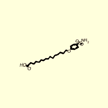 NS(=O)(=O)c1ccc(OCCCCCCCCCCCCCCCC(=O)O)cc1